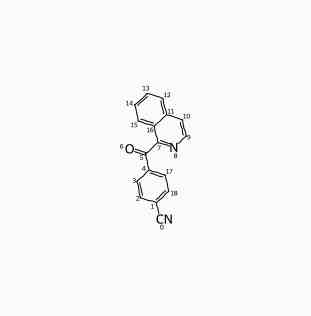 N#Cc1ccc(C(=O)c2nccc3ccccc23)cc1